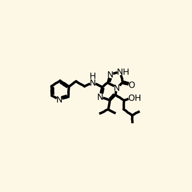 CC(C)CC(O)c1c(C(C)C)nc(NCCc2cccnc2)c2n[nH]c(=O)n12